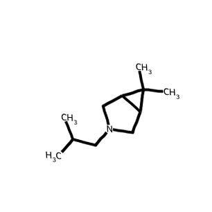 CC(C)CN1CC2C(C1)C2(C)C